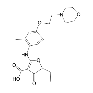 CCC1OC(Nc2ccc(OCCN3CCOCC3)cc2C)=C(C(=O)O)C1=O